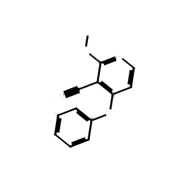 COc1nccc(Nc2ccccc2)c1C#N